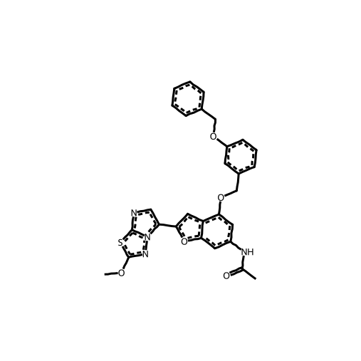 COc1nn2c(-c3cc4c(OCc5cccc(OCc6ccccc6)c5)cc(NC(C)=O)cc4o3)cnc2s1